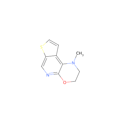 CN1CCOc2ncc3sccc3c21